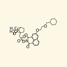 CC1(C)C2CCC1(CS(=O)(=O)ON1C(=O)c3cccc4cc(OCCOCC5CCCCC5)cc(c34)C1=O)C(=O)C2